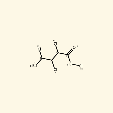 CCCCC(Cl)C(Cl)C(Cl)C(=O)OCl